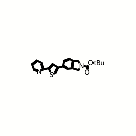 CC(C)(C)OC(=O)N1Cc2ccc(-c3csc(-c4ccccn4)c3)cc2C1